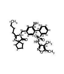 CCCCC1=NC2(CCCC2)C(=O)N1Cc1ccc(-c2ccccc2S(=O)(=O)Nc2noc(C)c2C)c(N)c1